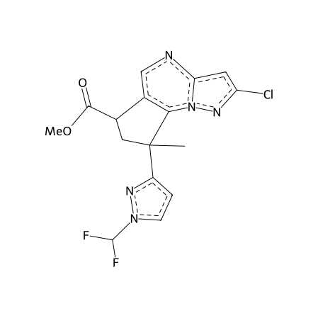 COC(=O)C1CC(C)(c2ccn(C(F)F)n2)c2c1cnc1cc(Cl)nn21